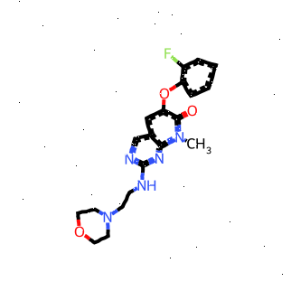 Cn1c(=O)c(Oc2ccccc2F)cc2cnc(NCCN3CCOCC3)nc21